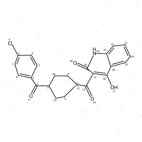 O=C(c1ccc(Cl)cc1)C1CCN(C(=O)c2c(O)c3ccccc3[nH]c2=O)CC1